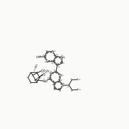 CCOC(=O)[C@@H]1C2CCC(CC2)[C@H]1Nc1nc(-c2c[nH]c3ncc(Cl)nc23)nc2c1ccn2C(CF)CF